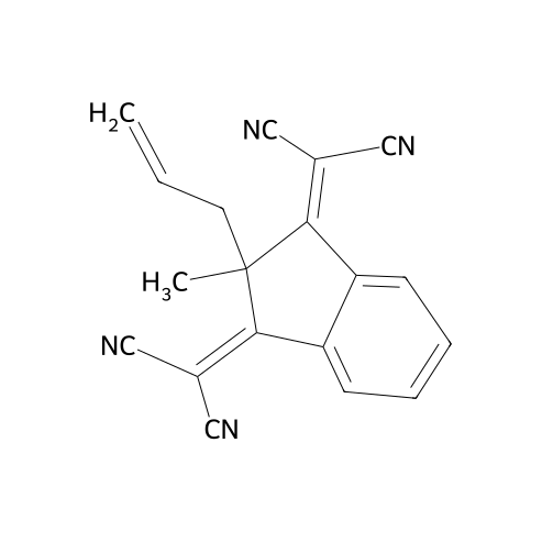 C=CCC1(C)C(=C(C#N)C#N)c2ccccc2C1=C(C#N)C#N